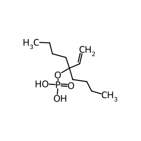 C=CC(CCCC)(CCCC)OP(=O)(O)O